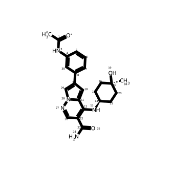 CC(=O)Nc1cccc(-c2cc3c(N[C@H]4CC[C@@](C)(O)CC4)c(C(N)=O)cnn3c2)c1